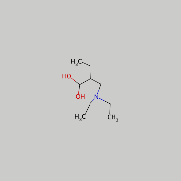 CCC(CN(CC)CC)C(O)O